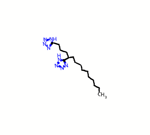 CCCCCCCCCCC(CCCc1nnn[nH]1)c1nnn[nH]1